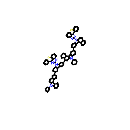 c1ccc(-n2c3ccccc3c3c4ccc(-c5ccc6c(c5)c5ccc(-c7cc8c(c9ccccc79)c7cc(-c9ccc%10c(c9)c9c%11ccccc%11ccc9n%10-c9nc%10c%11c(cccc%11n9)Sc9ccccc9-%10)ccc7n8-c7ccccc7)cc5n6-c5nc6c7c(cccc7n5)Sc5ccccc5-6)cc4ccc32)cc1